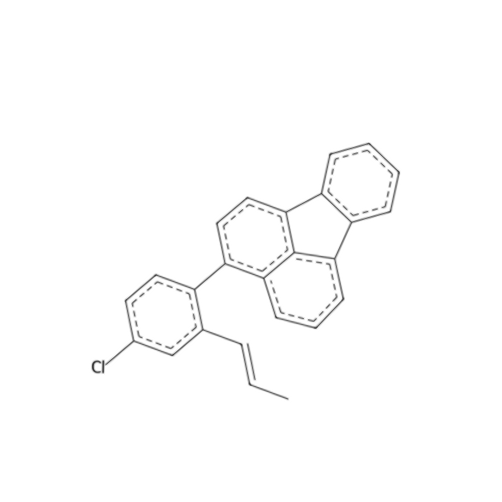 CC=Cc1cc(Cl)ccc1-c1ccc2c3c(cccc13)-c1ccccc1-2